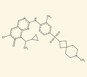 Cc1cc(S(=O)(=O)C2CC3(CCN(C)CC3)C2)ccc1Nc1ncc2cc(Cl)c(=O)n(C(C)C3CC3)c2n1